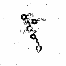 COc1ccc(N(C(=O)Oc2c(C)cccc2C)c2cc(C)nc(Nc3cccc(CCCN4CCOCC4)c3)n2)c(OC)c1